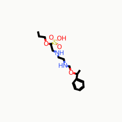 CCCOC(CNCCNCOC(C)c1ccccc1)S(=O)(=O)O